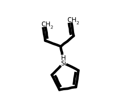 C=CC(C=C)[SiH]1C=CC=C1